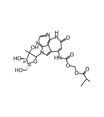 CC(C)C(=O)OCOC(=O)NC1=CC(=O)Nc2ncnc3c2c1cn3C1O[C@H](CO)[C@@H](O)C1(C)O